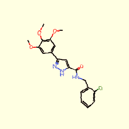 COc1cc(-c2cc(C(=O)NCc3ccccc3Cl)[nH]n2)cc(OC)c1OC